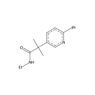 CCNC(=O)C(C)(C)c1ccc(C(C)C)nc1